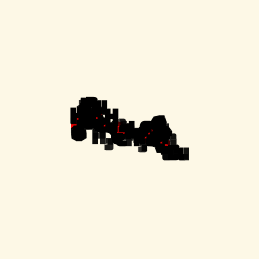 CC(C)(C)c1ccc(N(c2cccc(-c3ccccc3)c2)c2ccc3c(c2)C(C)(C)c2cc(/C=C/c4ccc5c(c4)C(C)(C)c4cc(/C=C/c6ccc7c(c6)C(C)(C)c6cc(N(c8ccc(C(C)(C)C)cc8)c8cccc(-c9ccccc9)c8)ccc6-7)ccc4-5)ccc2-3)cc1